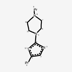 CC(C)c1cnc(N2CCN(C(C)C)CC2)s1